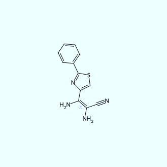 N#C/C(N)=C(/N)c1csc(-c2ccccc2)n1